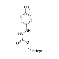 CCCCCCCCOC(=O)NNc1ccc(C)cc1